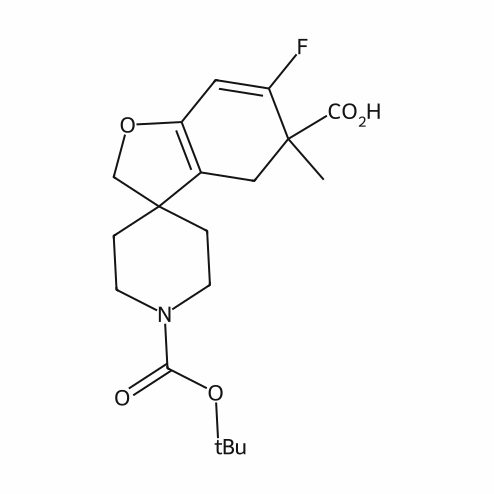 CC(C)(C)OC(=O)N1CCC2(CC1)COC1=C2CC(C)(C(=O)O)C(F)=C1